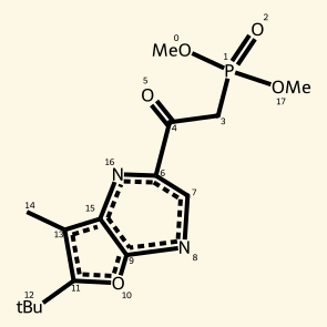 COP(=O)(CC(=O)c1cnc2oc(C(C)(C)C)c(C)c2n1)OC